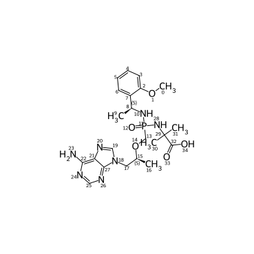 COc1ccccc1[C@H](C)NP(=O)(CO[C@@H](C)Cn1cnc2c(N)ncnc21)NC(C)(C)C(=O)O